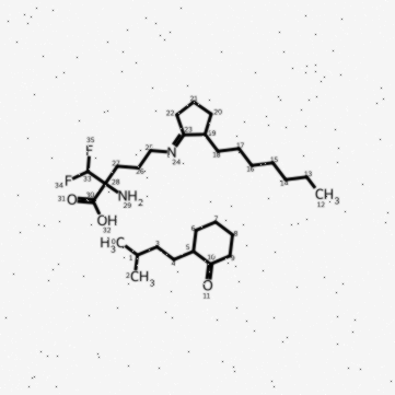 CC(C)CCC1CCCCC1=O.CCCCCCCC1CCC/C1=N\CCCC(N)(C(=O)O)C(F)F